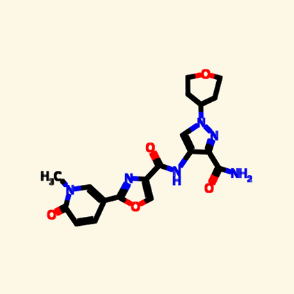 Cn1cc(-c2nc(C(=O)Nc3cn(C4CCOCC4)nc3C(N)=O)co2)ccc1=O